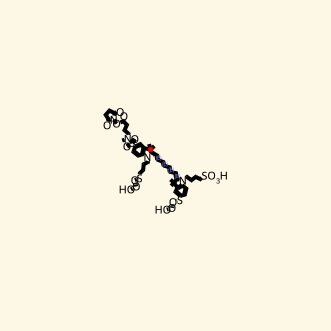 CN(CCCC(=O)ON1C(=O)CCC1=O)S(=O)(=O)c1ccc2c(c1)C(C)(C)C(/C=C/C=C/C=C/C=C1/N(CCCCS(=O)(=O)O)c3ccc(SOOO)cc3C1(C)C)=[N+]2CCCCSOOO